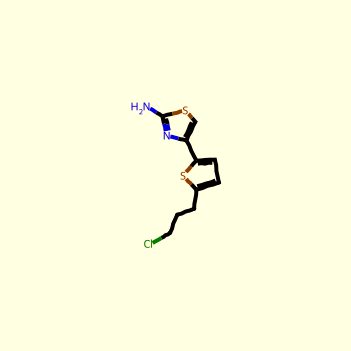 Nc1nc(-c2ccc(CCCCl)s2)cs1